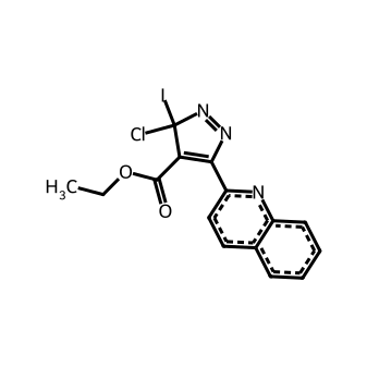 CCOC(=O)C1=C(c2ccc3ccccc3n2)N=NC1(Cl)I